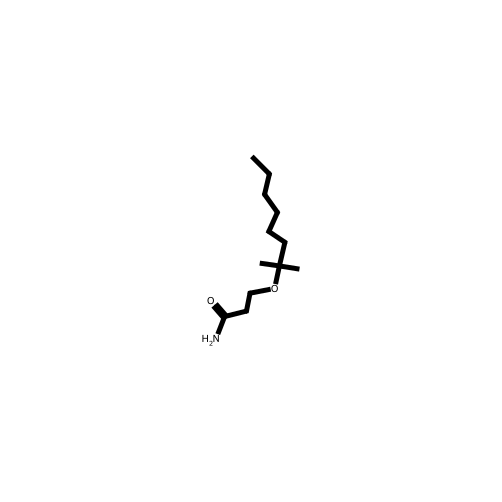 CCCCCCC(C)(C)OCCC(N)=O